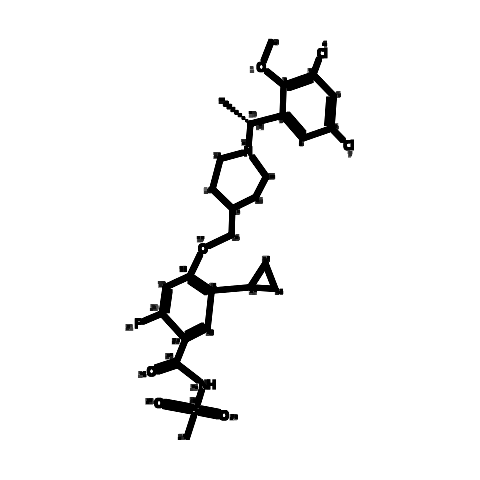 COc1c(Cl)cc(Cl)cc1[C@@H](C)N1CCC(COc2cc(F)c(C(=O)NS(C)(=O)=O)cc2C2CC2)CC1